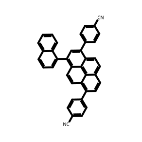 N#Cc1ccc(-c2ccc3ccc4c(-c5ccc(C#N)cc5)cc(-c5cccc6ccccc56)c5ccc2c3c45)cc1